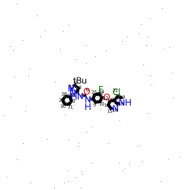 CC(C)(C)c1cc(NC(=O)Nc2ccc(Oc3ccnc4[nH]cc(Cl)c34)c(F)c2)n(-c2ccccc2)n1